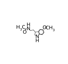 COc1ccc2c(c1)C(CCNC(C)=O)CN2